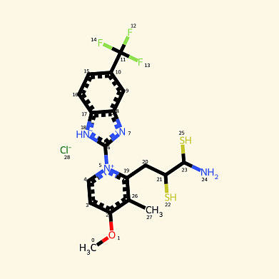 COc1cc[n+](-c2nc3cc(C(F)(F)F)ccc3[nH]2)c(CC(S)C(N)S)c1C.[Cl-]